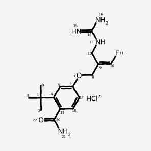 CC(C)(C)c1cc(OC/C(=C/F)CNC(=N)N)ccc1C(N)=O.Cl